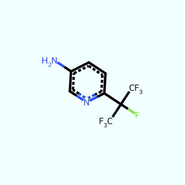 Nc1ccc(C(F)(C(F)(F)F)C(F)(F)F)nc1